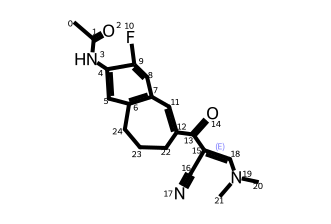 CC(=O)Nc1cc2c(cc1F)C=C(C(=O)/C(C#N)=C/N(C)C)CCC2